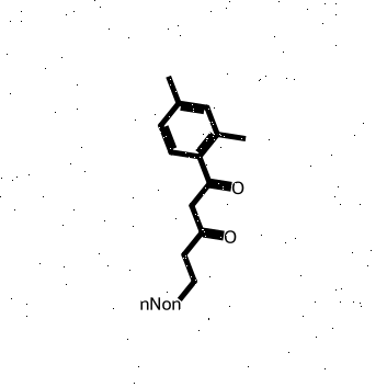 CCCCCCCCCCCC(=O)CC(=O)c1ccc(C)cc1C